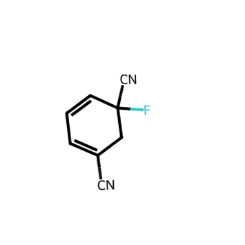 N#CC1=CC=CC(F)(C#N)C1